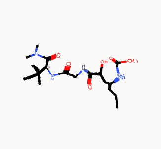 CCCC(NC(=O)O)C(O)C(=O)NCC(=O)N[C@H](C(=O)N(C)C)C(C)(C)C